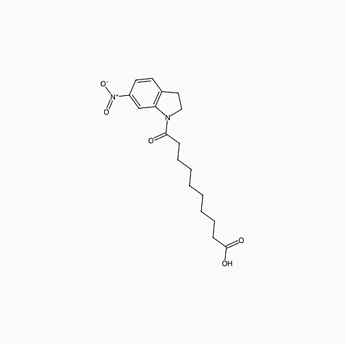 O=C(O)CCCCCCCCC(=O)N1CCc2ccc([N+](=O)[O-])cc21